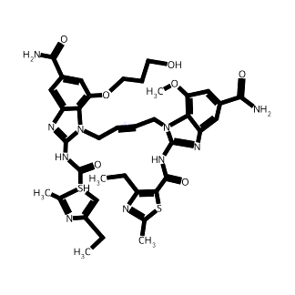 CCC1=C[SH](C(=O)Nc2nc3cc(C(N)=O)cc(OCCCO)c3n2C/C=C/Cn2c(NC(=O)c3sc(C)nc3CC)nc3cc(C(N)=O)cc(OC)c32)C(C)=N1